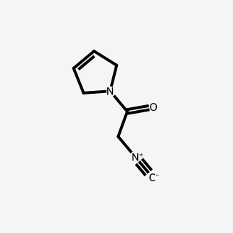 [C-]#[N+]CC(=O)N1CC=CC1